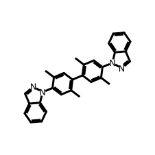 Cc1cc(-n2ncc3ccccc32)c(C)cc1-c1cc(C)c(-n2ncc3ccccc32)cc1C